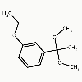 [CH2]C(OC)(OC)c1cccc(OCC)c1